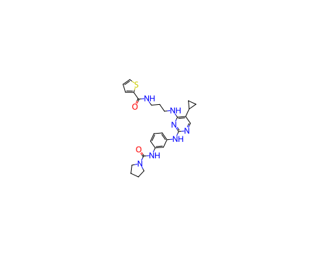 O=C(NCCCNc1nc(Nc2cccc(NC(=O)N3CCCC3)c2)ncc1C1CC1)c1cccs1